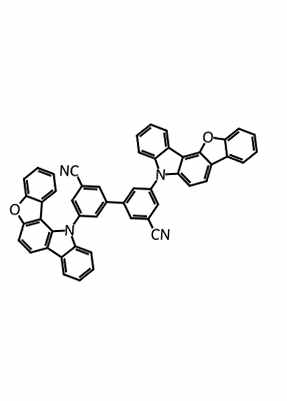 N#Cc1cc(-c2cc(C#N)cc(-n3c4ccccc4c4ccc5oc6ccccc6c5c43)c2)cc(-n2c3ccccc3c3c4oc5ccccc5c4ccc32)c1